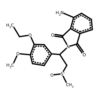 CCOc1cc(C(C[S+](C)[O-])N2C(=O)c3cccc(N)c3C2=O)ccc1OC